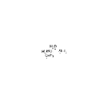 O.[AlH3].[GaH3].[MgH2]